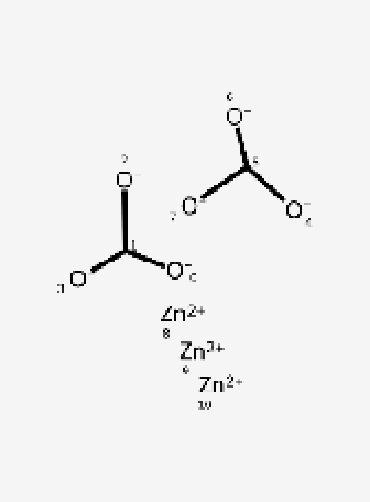 [O-]C([O-])[O-].[O-]C([O-])[O-].[Zn+2].[Zn+2].[Zn+2]